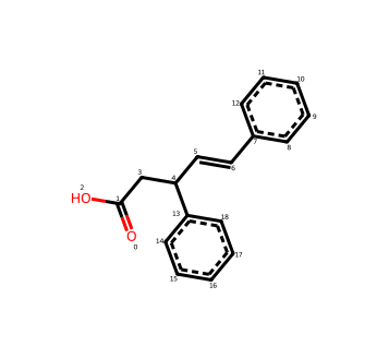 O=C(O)CC(C=Cc1ccccc1)c1ccccc1